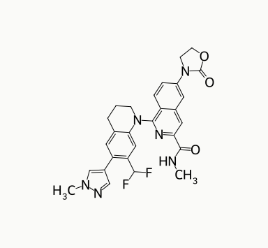 CNC(=O)c1cc2cc(N3CCOC3=O)ccc2c(N2CCCc3cc(-c4cnn(C)c4)c(C(F)F)cc32)n1